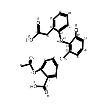 CC(=O)Oc1ccccc1C(=O)O.O=C(O)Cc1ccccc1Nc1c(Cl)cccc1Cl